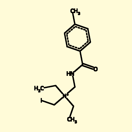 CC[N+](CC)(CI)CNC(=O)c1ccc(C)cc1